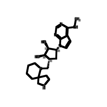 CNc1ncnc2c1ccn2[C@@H]1C[C@H](CN2CCCCC23CCNC3)[C@@H](O)[C@H]1O